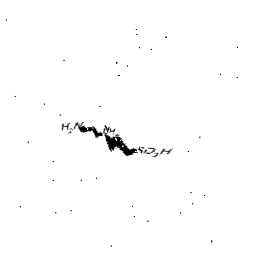 N.NCCCNCCCS(=O)(=O)O